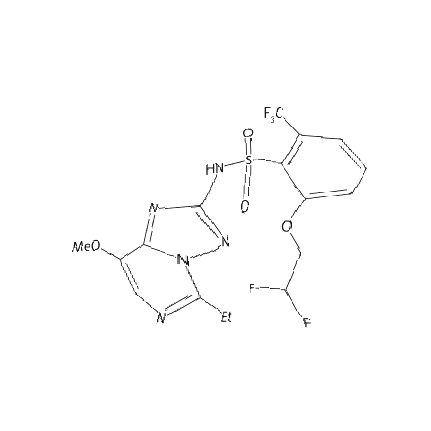 CCc1ncc(OC)c2nc(NS(=O)(=O)c3c(OCC(F)F)cccc3C(F)(F)F)nn12